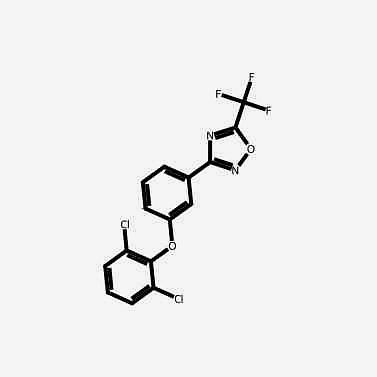 FC(F)(F)c1nc(-c2cc[c]c(Oc3c(Cl)cccc3Cl)c2)no1